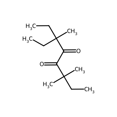 CCC(C)(C)C(=O)C(=O)C(C)(CC)CC